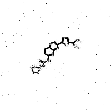 CC(C)c1ccc(-c2cnc3ccc(NC(=O)N[SH]4SSSS4)nc3n2)o1